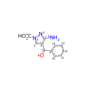 Nc1nn(C(=O)O)cc1C(=O)c1ccccc1